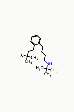 CC(C)(C)CCc1ccccc1CCCCNC(C)(C)C